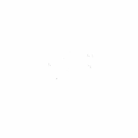 C[C@@H]1CNC[C@@](C)(c2[c][nH]nc2)O1